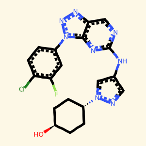 O[C@H]1CC[C@H](n2cc(Nc3ncc4nnn(-c5ccc(Cl)c(F)c5)c4n3)cn2)CC1